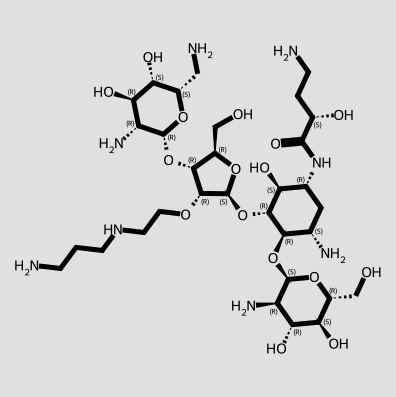 NCCCNCCO[C@H]1[C@H](O[C@@H]2[C@@H](O)[C@H](NC(=O)[C@@H](O)CCN)C[C@H](N)[C@H]2O[C@H]2O[C@H](CO)[C@@H](O)[C@H](O)[C@H]2N)O[C@H](CO)[C@H]1O[C@H]1O[C@@H](CN)[C@@H](O)[C@H](O)[C@H]1N